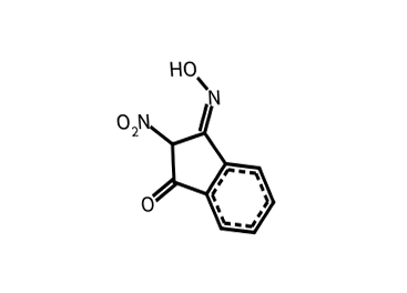 O=C1c2ccccc2C(=NO)C1[N+](=O)[O-]